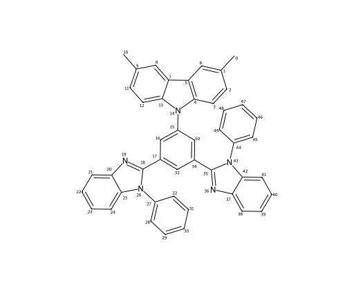 Cc1ccc2c(c1)c1cc(C)ccc1n2-c1cc(-c2nc3ccccc3n2-c2ccccc2)cc(-c2nc3ccccc3n2-c2ccccc2)c1